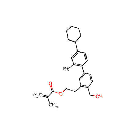 C=C(C)C(=O)OCCc1cc(-c2ccc(C3CCCCC3)cc2CC)ccc1CO